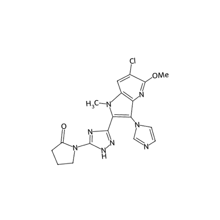 COc1nc2c(-n3ccnc3)c(-c3n[nH]c(N4CCCC4=O)n3)n(C)c2cc1Cl